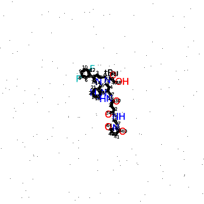 CC(C)(C)C(c1cc(-c2cc(F)ccc2F)cn1Cc1ccccc1)N(CC[C@H](N)CNC(=O)CCC(=O)NCCN1C(=O)C=CC1=O)C(=O)CO